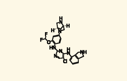 FC(F)Oc1cc(N2C[C@H]3C[C@@H]2CN3)ccc1Nc1ncc(Cl)c(Nc2cccc3c2CNC3)n1